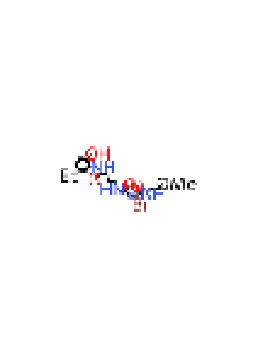 CCc1ccc(O)c(NC(=O)CCCNC(=O)/C=C(/Br)C(=O)NCCOC)c1